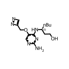 CCCC[C@@H](CCO)Nc1nc(N)ncc1OCC1=CN=N1